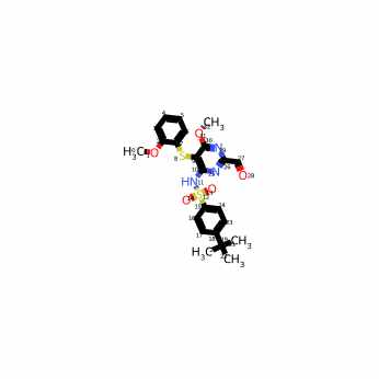 COc1ccccc1Sc1c(NS(=O)(=O)c2ccc(C(C)(C)C)cc2)nc(C=O)nc1OC